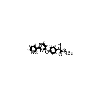 CC(C)(C)OC(=O)N[C@H]1CC[C@H](Oc2ccnc(-c3cccnc3)n2)CC1